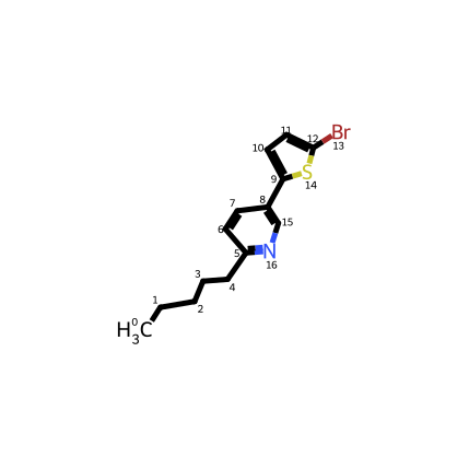 CCCCCc1ccc(-c2ccc(Br)s2)cn1